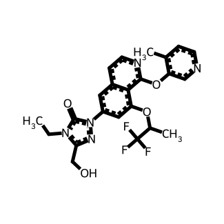 CCn1c(CO)nn(-c2cc(OC(C)C(F)(F)F)c3c(Oc4cnccc4C)nccc3c2)c1=O